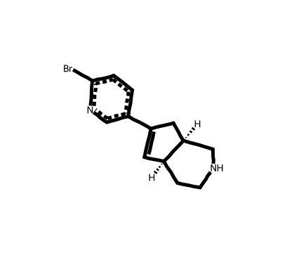 Brc1ccc(C2=C[C@@H]3CCNC[C@@H]3C2)cn1